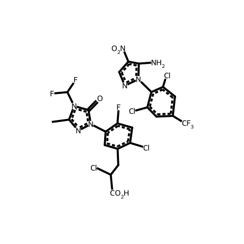 Cc1nn(-c2cc(CC(Cl)C(=O)O)c(Cl)cc2F)c(=O)n1C(F)F.Nc1c([N+](=O)[O-])cnn1-c1c(Cl)cc(C(F)(F)F)cc1Cl